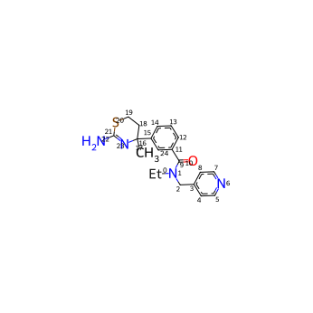 CCN(Cc1ccncc1)C(=O)c1cccc(C2(C)CCSC(N)=N2)c1